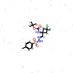 Cc1ccc(S(=O)(=O)NN=CC2(NC(=O)OC(C)(C)C)CC(F)(F)C2)cc1